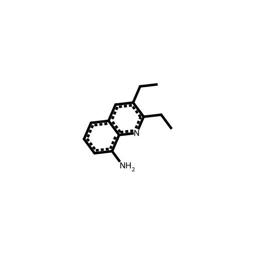 CCc1cc2cccc(N)c2nc1CC